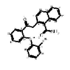 NC(=O)c1c(CC(=O)c2ccccc2Sc2ccccc2F)ccc2ccccc12